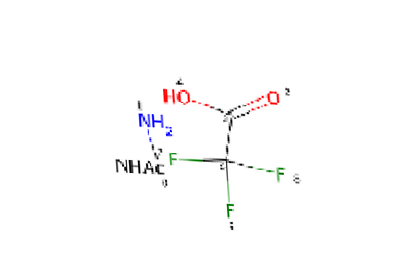 CC(=O)NN.O=C(O)C(F)(F)F